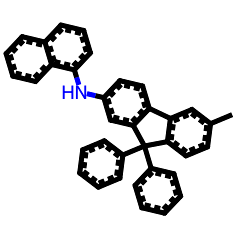 Cc1ccc2c(c1)-c1ccc(Nc3cccc4ccccc34)cc1C2(c1ccccc1)c1ccccc1